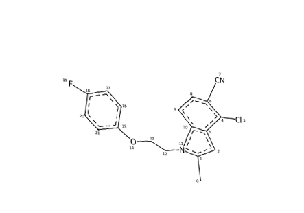 Cc1cc2c(Cl)c(C#N)ccc2n1CCOc1ccc(F)cc1